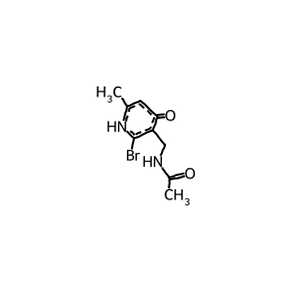 CC(=O)NCc1c(Br)[nH]c(C)cc1=O